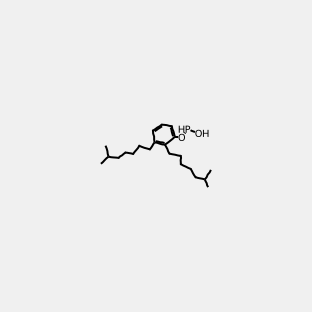 CC(C)CCCCCc1cccc(OPO)c1CCCCCC(C)C